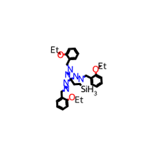 CCOc1ccccc1CN=NC(CC[SiH3])(N=NCc1ccccc1OCC)N=NCc1ccccc1OCC